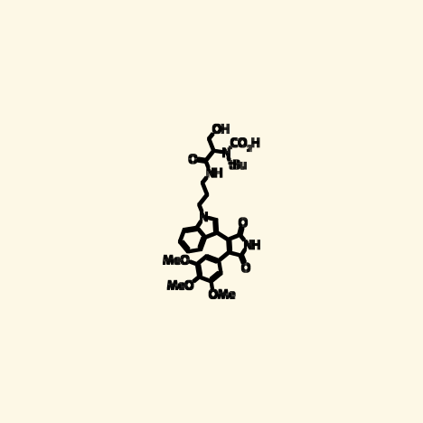 COc1cc(C2=C(c3cn(CCCNC(=O)C(CO)N(C(=O)O)C(C)(C)C)c4ccccc34)C(=O)NC2=O)cc(OC)c1OC